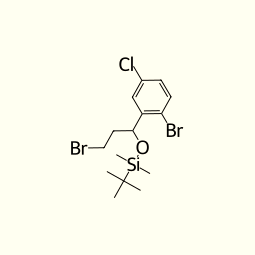 CC(C)(C)[Si](C)(C)OC(CCBr)c1cc(Cl)ccc1Br